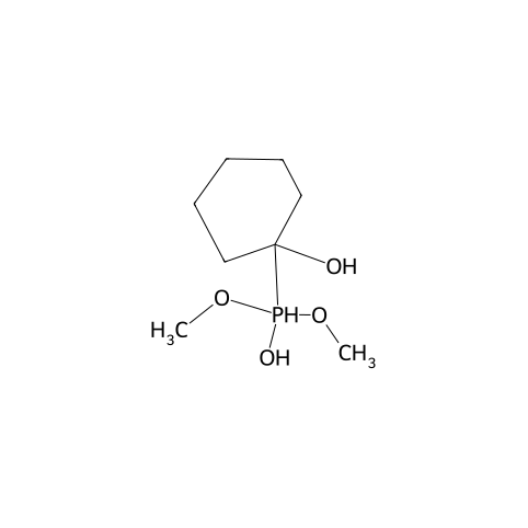 CO[PH](O)(OC)C1(O)CCCCC1